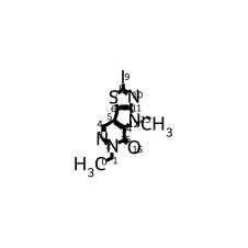 CCn1ncc2c3sc(I)nc3n(C)c2c1=O